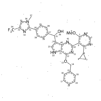 COc1ncnc(C2CC2)c1-c1nc(OCc2ccccc2)c2[nH]cc(C(O)c3ccc(-c4nc(C(F)(F)F)cn4C)cc3)c2n1